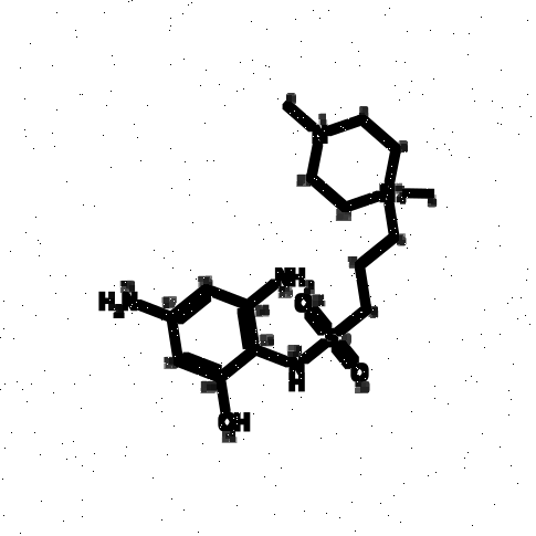 CN1CC[N+](C)(CCCS(=O)(=O)Nc2c(N)cc(N)cc2O)CC1